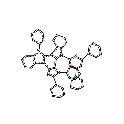 c1ccc(-c2cc(-c3ccccc3)nc(-n3c4ccccc4c4c5c(c6ccccc6n5-c5ccccc5)c5nc(-c6ccccc6)n(-c6ccccc6)c5c43)n2)cc1